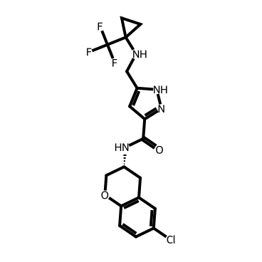 O=C(N[C@H]1COc2ccc(Cl)cc2C1)c1cc(CNC2(C(F)(F)F)CC2)[nH]n1